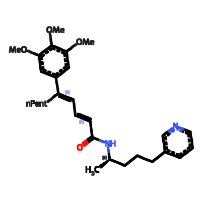 CCCCC/C(=C\C=C\C(=O)N[C@H](C)CCCc1cccnc1)c1cc(OC)c(OC)c(OC)c1